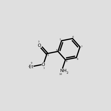 C[CH]OC(=O)c1ccccc1N